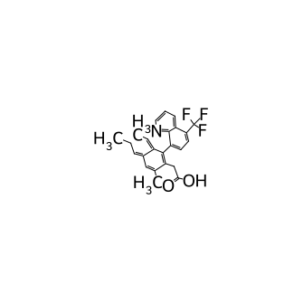 C/C=c1/c(-c2ccc(C(F)(F)F)c3cccnc23)c(CC(=O)O)c(C)c/c1=C/CC